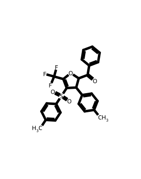 Cc1ccc(C2C(S(=O)(=O)c3ccc(C)cc3)=C(C(F)(F)F)OC2C(=O)c2ccccc2)cc1